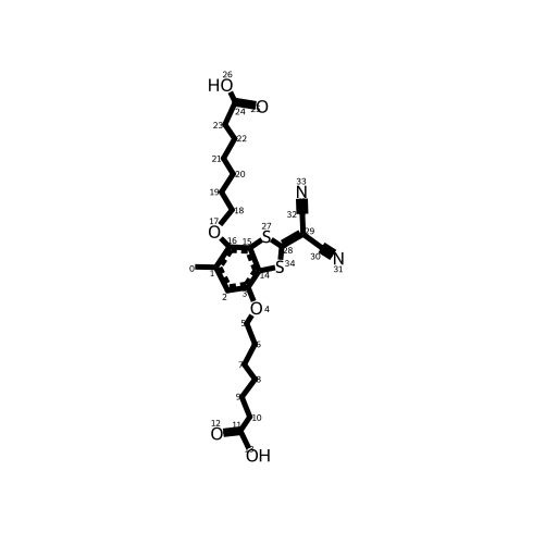 Cc1cc(OCCCCCCC(=O)O)c2c(c1OCCCCCCC(=O)O)SC(=C(C#N)C#N)S2